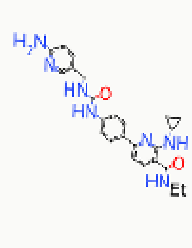 CCNC(=O)c1ccc(-c2ccc(NC(=O)NCc3ccc(N)nc3)cc2)nc1NC1CC1